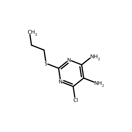 CCCSc1nc(N)c(N)c(Cl)n1